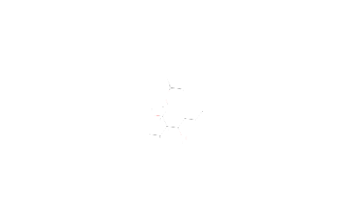 CCCC(O)C(CC)[CH](O)[Ti][O]C(C)C